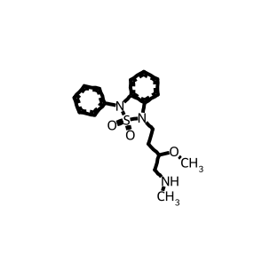 CNCC(CCN1c2ccccc2N(c2ccccc2)S1(=O)=O)OC